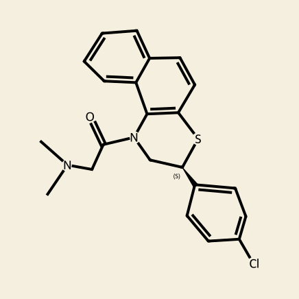 CN(C)CC(=O)N1C[C@H](c2ccc(Cl)cc2)Sc2ccc3ccccc3c21